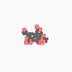 COC(=O)CC1C2(C)CC34OC5(C)OC67C(CC(=O)OC6C3(O)C2OC(=O)C(C)C)C(C)(C(=O)c2ccoc2)CCC7(O5)[C@]14C